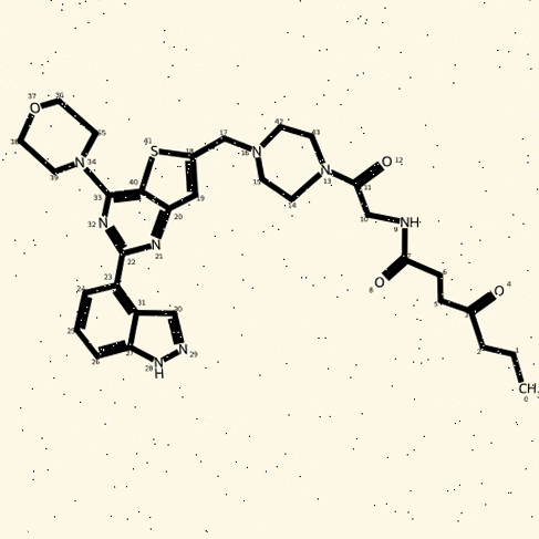 CCCC(=O)CCC(=O)NCC(=O)N1CCN(Cc2cc3nc(-c4cccc5[nH]ncc45)nc(N4CCOCC4)c3s2)CC1